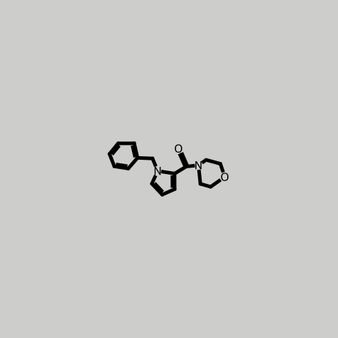 O=C(c1cccn1Cc1ccccc1)N1CCOCC1